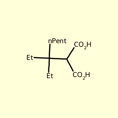 CCCCCC(CC)(CC)C(C(=O)O)C(=O)O